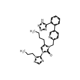 CCCCc1cn(-c2ncnn2CCC)c(=O)n1Cc1ccc(-c2ccccc2-c2nnn[nH]2)cn1